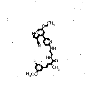 CCOc1cc(-c2ccc(NCCNC(=O)C(C)/C=C/c3cc(F)cc(OC)c3)nc2)c2c(C#N)cnn2c1